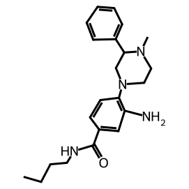 CCCCNC(=O)c1ccc(N2CCN(C)C(c3ccccc3)C2)c(N)c1